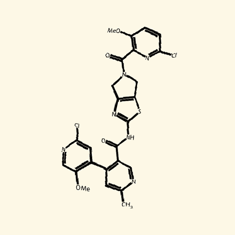 COc1cnc(Cl)cc1-c1cc(C)ncc1C(=O)Nc1nc2c(s1)CN(C(=O)c1nc(Cl)ccc1OC)C2